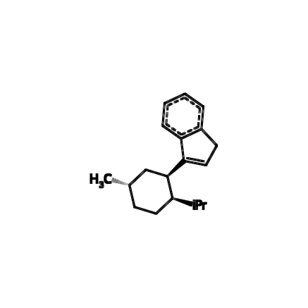 CC(C)[C@H]1CC[C@H](C)C[C@H]1C1=CCc2ccccc21